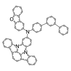 c1ccc(-c2cccc(-c3ccc(N(c4ccc5oc6ccccc6c5c4)c4ccc5c(c4)n4c6ccccc6c6ccc7c8ccccc8n5c7c64)cc3)c2)cc1